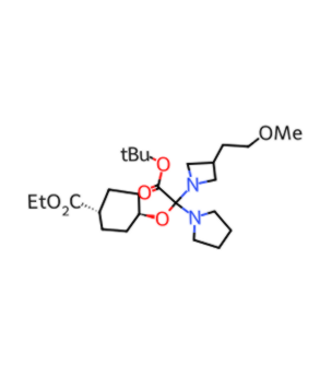 CCOC(=O)[C@H]1CC[C@H](OC(C(=O)OC(C)(C)C)(N2CCCC2)N2CC(CCOC)C2)CC1